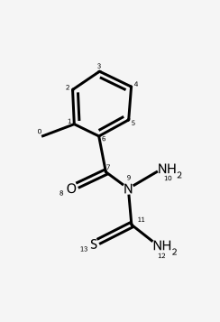 Cc1ccccc1C(=O)N(N)C(N)=S